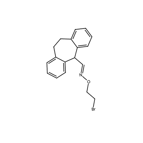 BrCCON=CC1c2ccccc2CCc2ccccc21